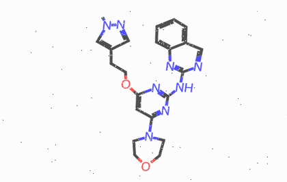 Cn1cc(CCOc2cc(N3CCOCC3)nc(Nc3ncc4ccccc4n3)n2)cn1